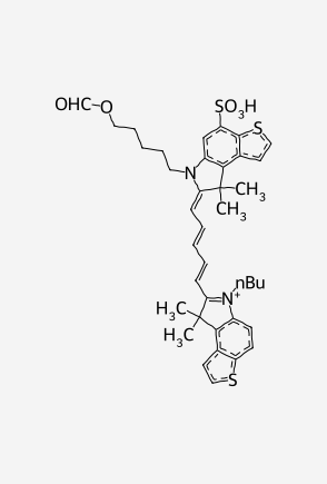 CCCC[N+]1=C(/C=C/C=C/C=C2/N(CCCCCOC=O)c3cc(S(=O)(=O)O)c4sccc4c3C2(C)C)C(C)(C)c2c1ccc1sccc21